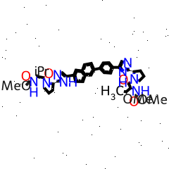 COC(=O)N[C@H](C(=O)N1CCC[C@H]1c1ncc(-c2ccc3cc(-c4ccc(-c5cnc([C@@H]6CCCN6C(=O)[C@@H](NC(=O)OC)[C@@H](C)OC)[nH]5)cc4)ccc3c2)[nH]1)C(C)C